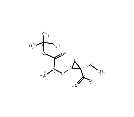 CC[C@@]1(C(=O)O)C[C@H]1CN(C)C(=O)OC(C)(C)C